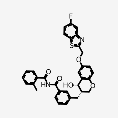 Cc1ccccc1C(=O)NC(=O)c1cccc(C[C@H]2COc3ccc(OCc4nc5cc(F)ccc5s4)cc3[C@H]2O)c1